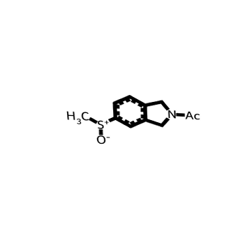 CC(=O)N1Cc2ccc([S+](C)[O-])cc2C1